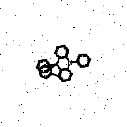 c1ccc(N2c3ccccc3C3(c4ccccc4)c4ccccc4-c4cccc2c43)cc1